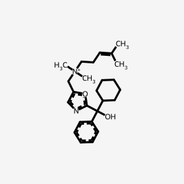 CC(C)=CCC[N+](C)(C)Cc1cnc(C(O)(c2ccccc2)C2CCCCC2)o1